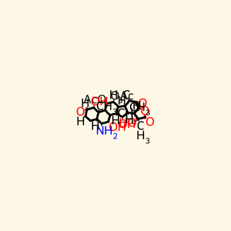 CC(=O)O[C@H]1C2C([C@@H](O)[C@H](N)[C@H]3C[C@@H]4O[C@@H]4[C@H](O)[C@]23C)[C@@H]2[C@@H](O)[C@@H]3[C@H]([C@H](C)[C@H]4O[C@]45OC(=O)[C@@](C)(O)[C@]35C)[C@@]2(C)[C@H]1OC(C)=O